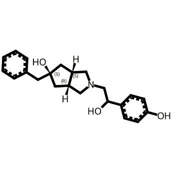 Oc1ccc(C(O)CN2C[C@@H]3C[C@](O)(Cc4ccccc4)C[C@@H]3C2)cc1